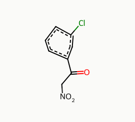 O=C(C[N+](=O)[O-])c1cccc(Cl)c1